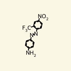 Nc1ccc(/N=N/c2ccc([N+](=O)[O-])cc2C(F)(F)F)cc1